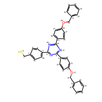 SCc1ccc(-c2nc(-c3ccc(OCc4ccccc4)cc3)nc(-c3ccc(OCc4ccccc4)cc3)n2)cc1